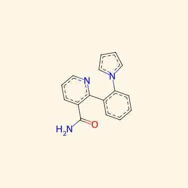 NC(=O)c1cccnc1-c1ccccc1-n1cccc1